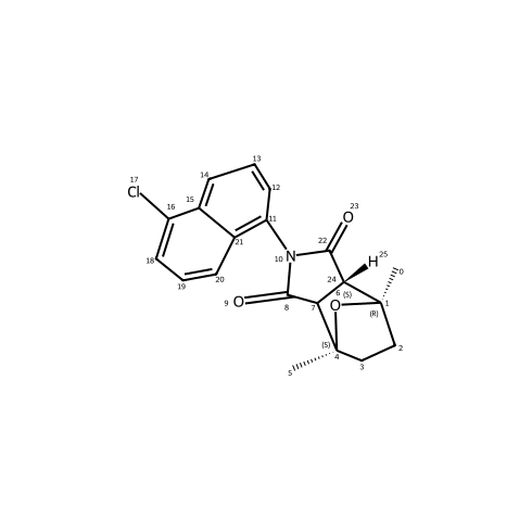 C[C@]12CC[C@](C)(O1)C1C(=O)N(c3cccc4c(Cl)cccc34)C(=O)[C@@H]12